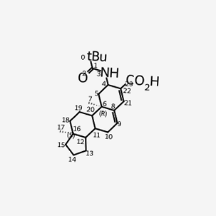 CC(C)(C)C(=O)NC1C[C@@]2(C)C(=CCC3C4CCC[C@@]4(C)CCC32)C=C1C(=O)O